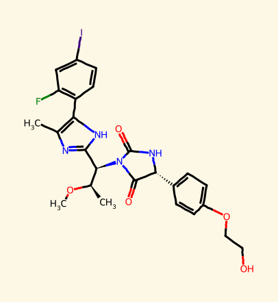 CO[C@H](C)[C@@H](c1nc(C)c(-c2ccc(I)cc2F)[nH]1)N1C(=O)N[C@H](c2ccc(OCCO)cc2)C1=O